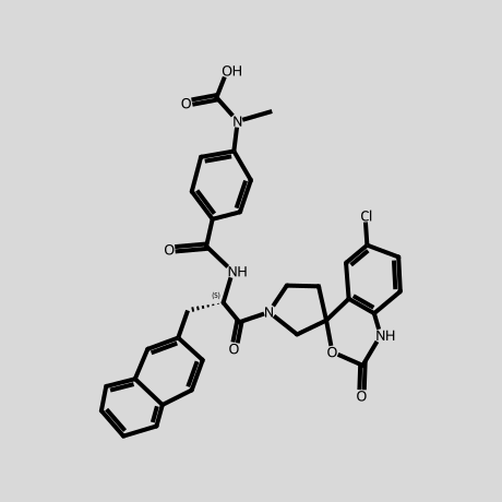 CN(C(=O)O)c1ccc(C(=O)N[C@@H](Cc2ccc3ccccc3c2)C(=O)N2CCC3(C2)OC(=O)Nc2ccc(Cl)cc23)cc1